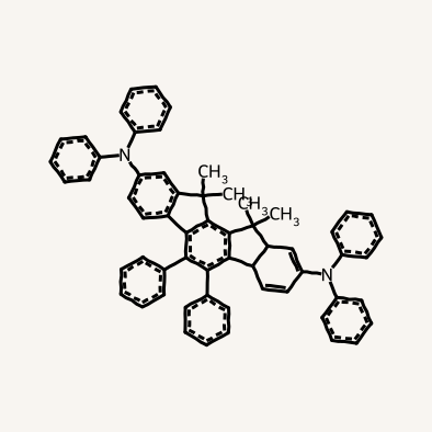 CC1(C)c2cc(N(c3ccccc3)c3ccccc3)ccc2-c2c(-c3ccccc3)c(-c3ccccc3)c3c(c21)C(C)(C)C1C=C(N(c2ccccc2)c2ccccc2)C=CC31